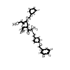 CN(CCc1ccc(OCc2ccccc2)cc1)C(=O)c1cc(OCc2ccccc2)c(CO)cc1Br